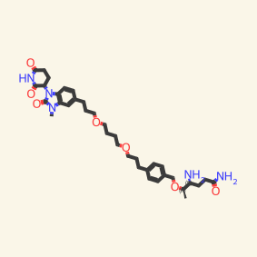 C[C@@H](OCc1ccc(CCCOCCCCOCCCc2ccc3c(c2)n(C)c(=O)n3C2CCC(=O)NC2=O)cc1)[C@@H](N)CCC(N)=O